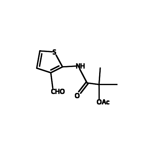 CC(=O)OC(C)(C)C(=O)Nc1sccc1C=O